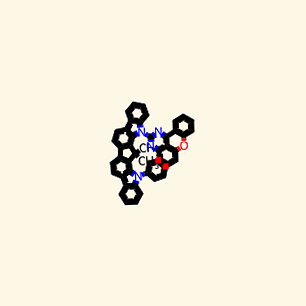 CC1(C)c2c(ccc3c4ccccc4n(-c4ccccc4)c23)-c2ccc3c4ccccc4n(-c4nc5c6c(cccc6n4)Oc4ccccc4-5)c3c21